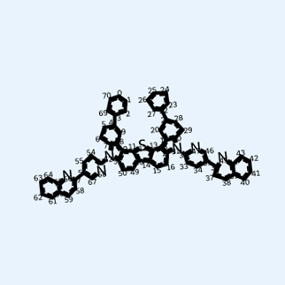 c1ccc(-c2ccc3c(c2)c2c4sc5c(ccc6c5c5cc(-c7ccccc7)ccc5n6-c5ccc(-c6ccc7ccccc7n6)cn5)c4ccc2n3-c2ccc(-c3ccc4ccccc4n3)cn2)cc1